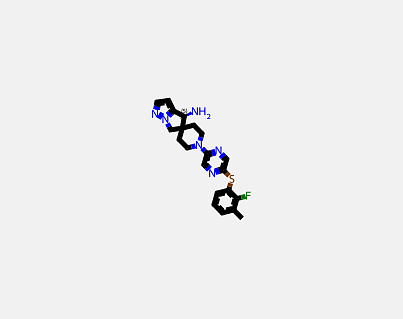 Cc1cccc(Sc2cnc(N3CCC4(CC3)Cn3nccc3[C@H]4N)cn2)c1F